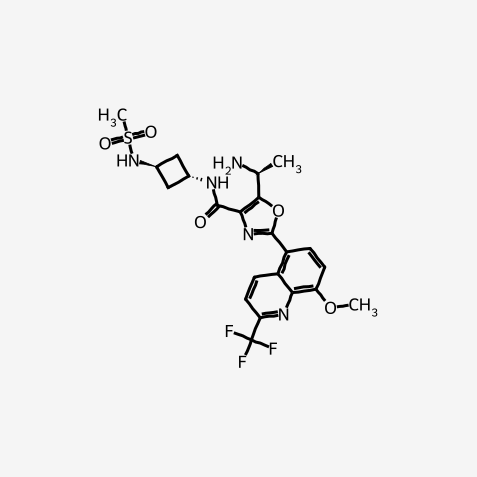 COc1ccc(-c2nc(C(=O)N[C@H]3C[C@H](NS(C)(=O)=O)C3)c([C@H](C)N)o2)c2ccc(C(F)(F)F)nc12